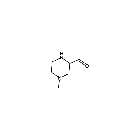 CN1CCNC(C=O)C1